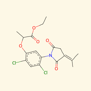 CCOC(=O)C(C)Oc1cc(N2C(=O)CC(=C(C)C)C2=O)c(Cl)cc1Cl